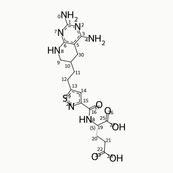 Nc1nc(N)c2c(n1)NCC(CCc1cc(C(=O)N[C@@H](CCC(=O)O)C(=O)O)ns1)C2